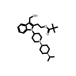 CC(C)[C@H]1CC[C@@H](N2CCC(n3c(CCOC(=O)C(C)(C)C)c(CO)c4ccccc43)CC2)CC1